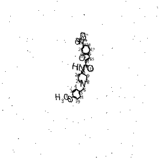 COc1ccc(CN2CCC(NC(=O)c3cc4ccc([N+](=O)[O-])cc4o3)CC2)cc1